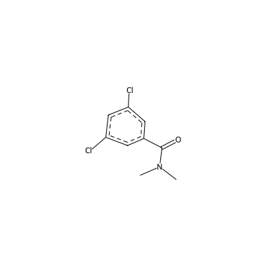 CN(C)C(=O)c1cc(Cl)cc(Cl)c1